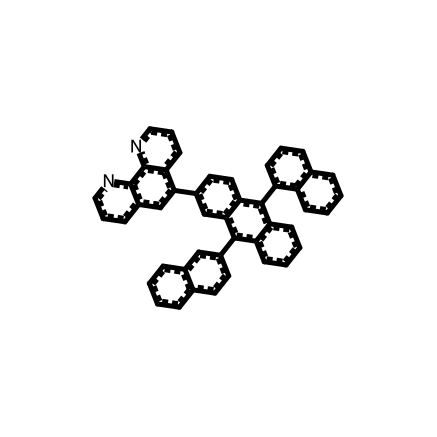 c1ccc2cc(-c3c4ccccc4c(-c4cccc5ccccc45)c4ccc(-c5cc6cccnc6c6ncccc56)cc34)ccc2c1